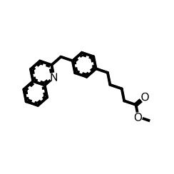 COC(=O)CCCCc1ccc(Cc2ccc3ccccc3n2)cc1